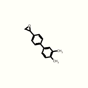 Cc1ccc(-c2ccc(C3CO3)cc2)cc1C